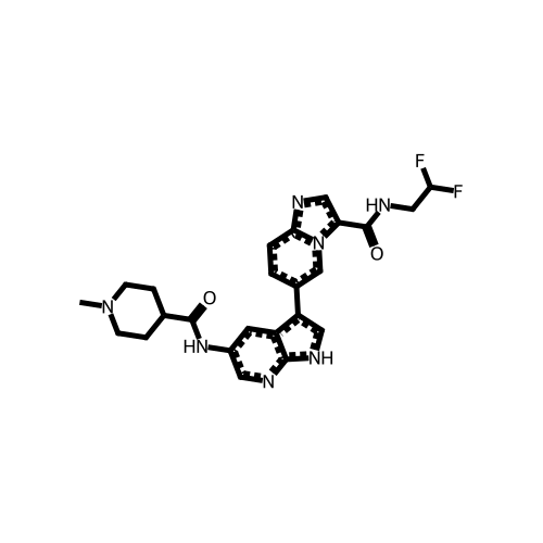 CN1CCC(C(=O)Nc2cnc3[nH]cc(-c4ccc5ncc(C(=O)NCC(F)F)n5c4)c3c2)CC1